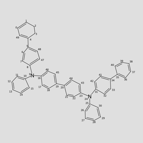 C1=CCCC(c2ccc(N(c3ccccc3)c3ccc(-c4ccc(N(c5ccccc5)c5ccc(-c6ccccc6)cc5)cc4)cc3)cc2)=C1